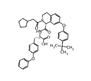 CC(C)(C)c1ccc(Oc2ccc3c(c2)C(C(=O)N[C@@H](Cc2ccc(Oc4ccccc4)cc2)C(=O)O)N(C(=O)CC2CCCC2)CC3)cc1